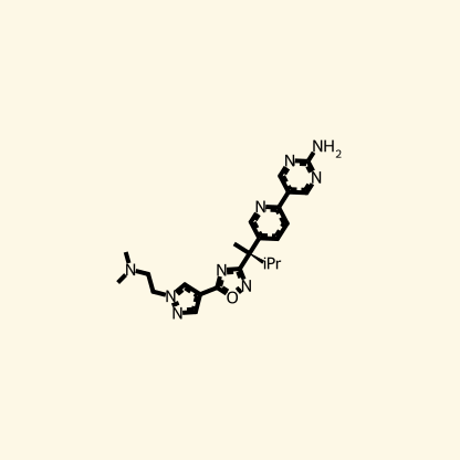 CC(C)[C@@](C)(c1ccc(-c2cnc(N)nc2)nc1)c1noc(-c2cnn(CCN(C)C)c2)n1